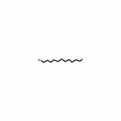 BrCCCCCCCCCCCI